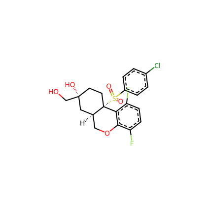 O=S(=O)(c1ccc(Cl)cc1)[C@@]12CC[C@](O)(CO)C[C@@H]1COc1c(F)ccc(F)c12